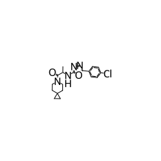 CC(Nc1nnc(-c2ccc(Cl)cc2)o1)C(=O)N1CCC2(CC1)CC2